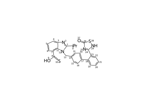 CC(C)c1nc2cccc(C(O)=S)c2n1Cc1ccc(-c2ccccc2-c2nc(=O)s[nH]2)cc1